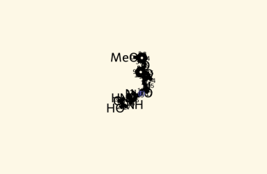 COc1cccc(Oc2cccc3c(CN(C)C(=O)/C=C/c4cnc5c(c4)NCC(O)C(=O)N5)c(C)oc23)c1